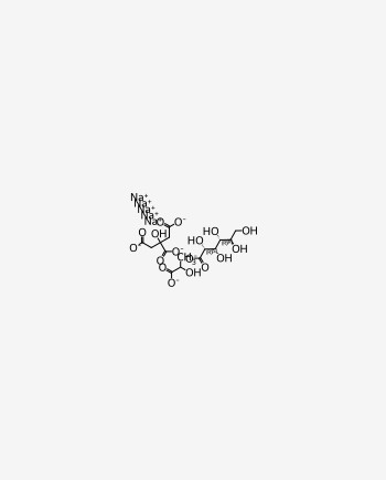 CC(O)C(=O)[O-].O=C([O-])CC(O)(CC(=O)[O-])C(=O)[O-].O=C([O-])[C@H](O)[C@@H](O)[C@H](O)[C@H](O)CO.[Na+].[Na+].[Na+].[Na+].[Na+]